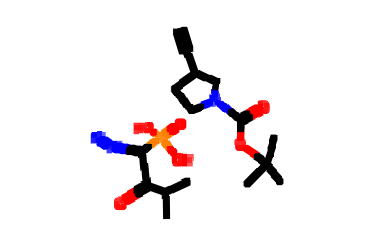 C#CC1CCN(C(=O)OC(C)(C)C)C1.CC(C)C(=O)C(=[N+]=[N-])P(=O)(O)O